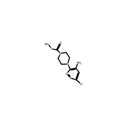 CC(C)(C)OC(=O)N1CCN(c2nnc(Cl)cc2N)CC1